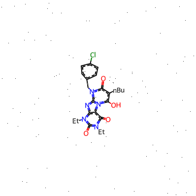 CCCCc1c(O)n2c3c(=O)n(CC)c(=O)n(CC)c3nc2n(Cc2ccc(Cl)cc2)c1=O